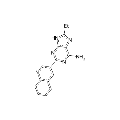 CCc1nc2c(N)nc(-c3cnc4ccccc4c3)nc2[nH]1